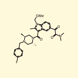 COCn1c(C)c(C(=O)N2C[C@H](C)N(Cc3ccc(F)cc3)C[C@H]2C)c2cc(C(=O)C(=O)N(C)C)ccc21